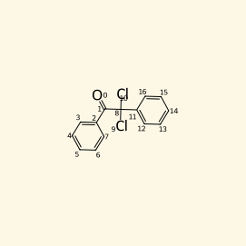 O=C(c1ccccc1)C(Cl)(Cl)c1ccccc1